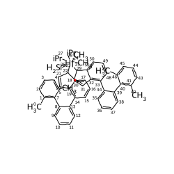 Cc1cccc(C)c1-c1ccccc1-c1cccc2c1C=C[CH]2[Hf]([CH3])([CH3])(=[SiH2])([CH](C)C)([CH](C)C)[CH]1C=Cc2c(-c3ccccc3-c3c(C)cccc3C)cccc21